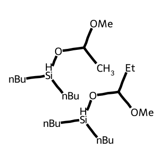 CCCC[SiH](CCCC)OC(C)OC.CCCC[SiH](CCCC)OC(CC)OC